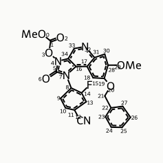 COC(=O)On1c(=O)n(-c2ccc(C#N)cc2F)c2c3cc(OCc4ccccc4)c(OC)cc3ncc21